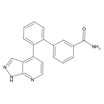 NC(=O)c1cccc(-c2ccccc2-c2ccnc3[nH]ncc23)c1